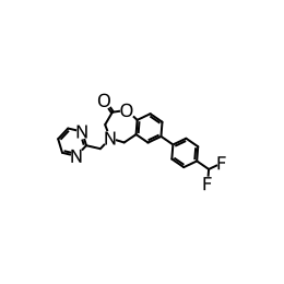 O=C1CN(Cc2ncccn2)Cc2cc(-c3ccc(C(F)F)cc3)ccc2O1